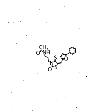 CC(=O)NCCCN1C(=O)SC(=Cc2ccc(-c3ccccc3)o2)C1=S